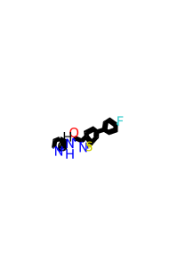 O=C(N[C@@H]1CN2CCC1CC2)c1nsc2cc(-c3ccc(F)cc3)ccc12